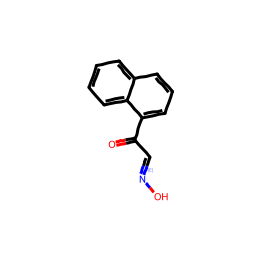 O=C(/C=N/O)c1cccc2ccccc12